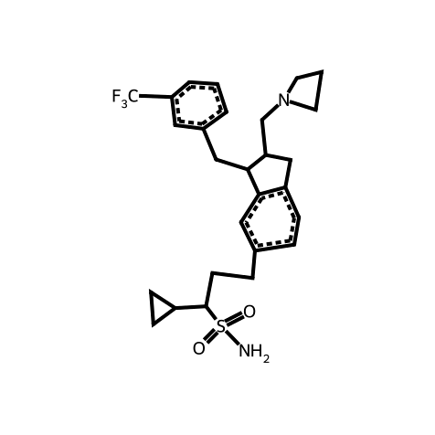 NS(=O)(=O)C(CCc1ccc2c(c1)C(Cc1cccc(C(F)(F)F)c1)C(CN1CCC1)C2)C1CC1